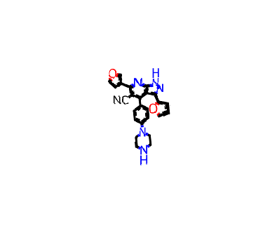 N#Cc1c(-c2ccoc2)nc2[nH]nc(-c3ccco3)c2c1-c1ccc(N2CCNCC2)cc1